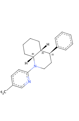 Cc1ccc(N2CC[C@H](c3ccccc3)[C@H]3CCCC[C@H]32)nc1